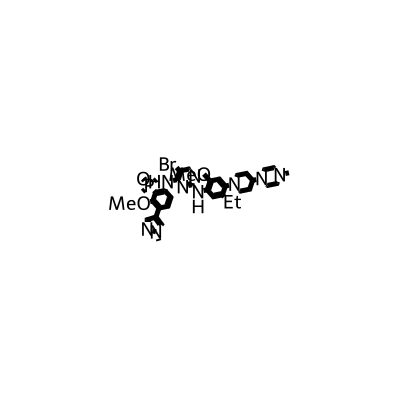 CCc1cc(Nc2ncc(Br)c(Nc3ccc(-c4cnn(C)c4)c(OC)c3P(C)(C)=O)n2)c(OC)cc1N1CCC(N2CCN(C)CC2)CC1